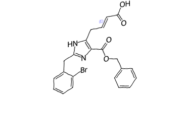 O=C(O)/C=C/Cc1[nH]c(Cc2ccccc2Br)nc1C(=O)OCc1ccccc1